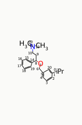 CC(C)c1cccc(COC(CCN(C)C)c2ccccc2)c1